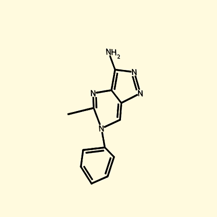 Cc1nc2c(N)nnc-2cn1-c1ccccc1